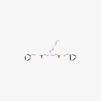 O=C(CCN(CCNCCO)CCC(=O)OCCc1ccccc1)OCCc1ccccc1